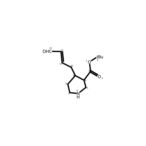 CC(C)(C)OC(=O)C1CNCCC1CC=CC=O